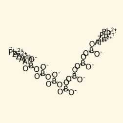 [Al+3].[Al+3].[Al+3].[O-]B([O-])[O-].[O-]B([O-])[O-].[O-]B([O-])[O-].[O-]B([O-])[O-].[O-]B([O-])[O-].[O-]B([O-])[O-].[O-]B([O-])[O-].[Pb+2].[Pb+2].[Pb+2].[Zn+2].[Zn+2].[Zn+2]